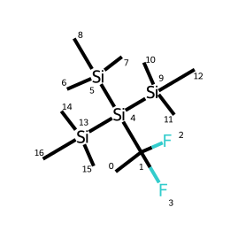 CC(F)(F)[Si]([Si](C)(C)C)([Si](C)(C)C)[Si](C)(C)C